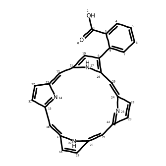 O=C(O)c1ccccc1-c1cc2cc3nc(cc4ccc(cc5nc(cc1[nH]2)C=C5)[nH]4)C=C3